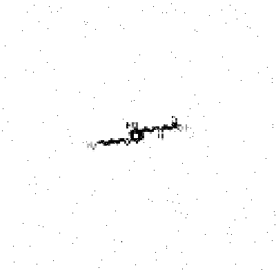 CCCCCCOc1ccc(CCCNCCC(=O)O)cc1.Cl